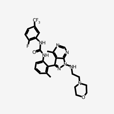 Cc1cccc(NC(=O)Nc2cc(C(F)(F)F)ccc2F)c1-c1nn(NCCN2CCOCC2)c2ncnc(C)c12